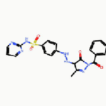 CC1=NN(C(=O)c2ccccc2)C(=O)C1NNc1ccc(S(=O)(=O)Nc2ncccn2)cc1